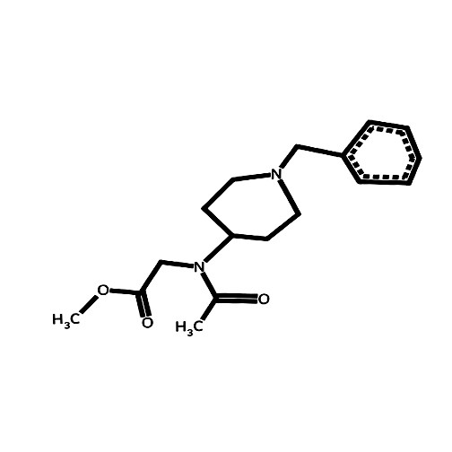 COC(=O)CN(C(C)=O)C1CCN(Cc2ccccc2)CC1